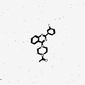 CC(=O)N1CCN(c2nc(-c3cccc(F)c3)nc3ccccc23)CC1